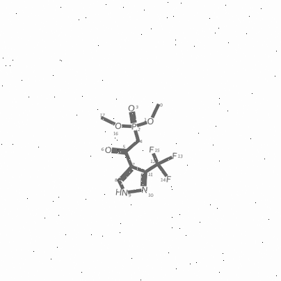 COP(=O)(CC(=O)c1c[nH]nc1C(F)(F)F)OC